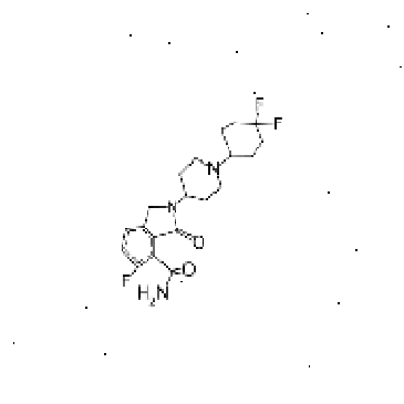 NC(=O)c1c(F)ccc2c1C(=O)N(C1CCN(C3CCC(F)(F)CC3)CC1)C2